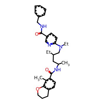 CCC(CC(C)NC(=O)c1ccc2c(c1C)OCCC2)CN(CC)c1ccc(C(=O)NCc2ccccc2)cn1